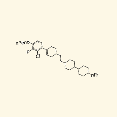 CCCCCc1ccc(C2=CCC(CCC3CCC(C4CCC(CCC)CC4)CC3)CC2)c(Cl)c1F